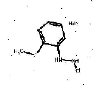 Br.COc1ccccc1NNCl